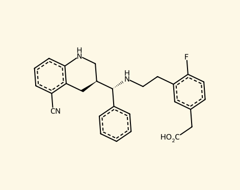 N#Cc1cccc2c1C[C@H]([C@H](NCCc1cc(CC(=O)O)ccc1F)c1ccccc1)CN2